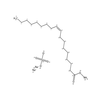 CCCCCCCC/C=C\CCCCCCCC(=O)ON.O=S(=O)([O-])[O-].[Na+].[Na+]